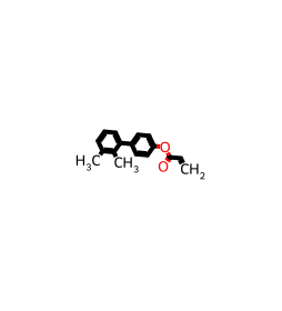 C=CC(=O)Oc1ccc(-c2cccc(C)c2C)cc1